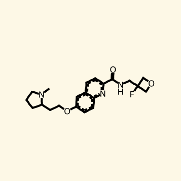 CN1CCCC1CCOc1ccc2nc(C(=O)NCC3(F)COC3)ccc2c1